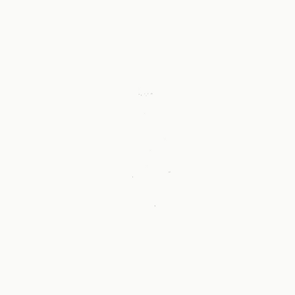 [CH2]Nc1ccc(-c2ccccc2)cc1